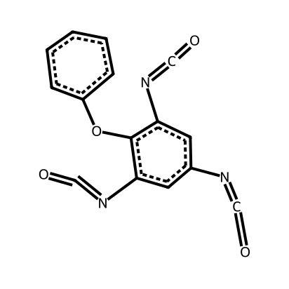 O=C=Nc1cc(N=C=O)c(Oc2ccccc2)c(N=C=O)c1